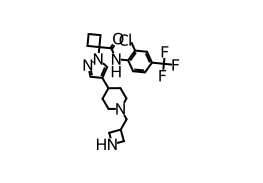 O=C(Nc1ccc(C(F)(F)F)cc1Cl)C1(n2cc(C3CCN(CC4CNC4)CC3)cn2)CCC1